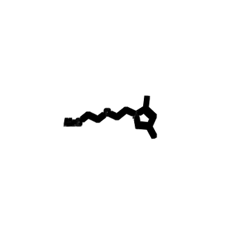 COCCOCCn1cc(C)cc1C